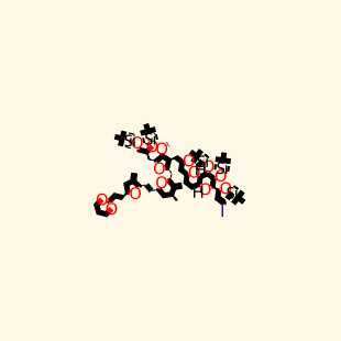 C=C1C[C@H](CCC2OCCCO2)O[C@H]1CC[C@H]1C[C@H](C)C(=C)[C@@H](C[C@@H]2O[C@H](C[C@@H](CO[Si](C)(C)C(C)(C)C)O[Si](C)(C)C(C)(C)C)[C@@H](OC)[C@H]2CC(=O)CC2CC[C@@H]3O[C@H](C(/C=C/I)O[Si](C)(C)C(C)(C)C)C(O[Si](C)(C)C(C)(C)C)C(O[Si](C)(C)C(C)(C)C)[C@@H]3O2)O1